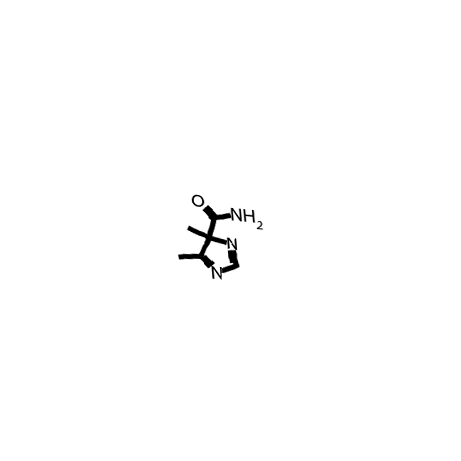 CC1=NC=NC1(C)C(N)=O